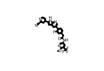 COc1ncc(NC(=O)Cc2ccc(-c3cnc4[nH]c(-c5ccnc(C#N)c5)cc4c3)c(F)c2)cc1C(F)(F)F